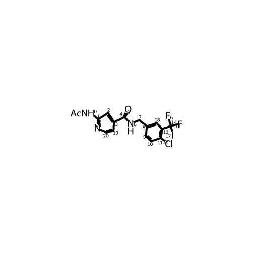 CC(=O)Nc1cc(C(=O)NCc2ccc(Cl)c(C(F)(F)I)c2)ccn1